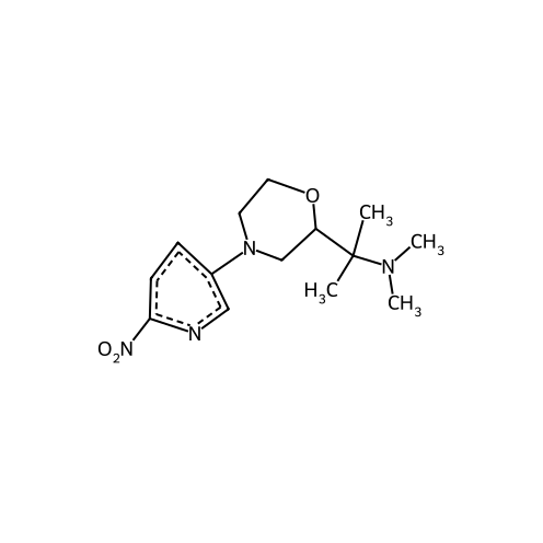 CN(C)C(C)(C)C1CN(c2ccc([N+](=O)[O-])nc2)CCO1